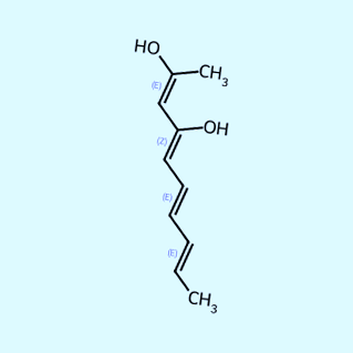 C/C=C/C=C/C=C(O)/C=C(\C)O